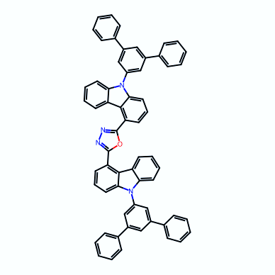 c1ccc(-c2cc(-c3ccccc3)cc(-n3c4ccccc4c4c(-c5nnc(-c6cccc7c6c6ccccc6n7-c6cc(-c7ccccc7)cc(-c7ccccc7)c6)o5)cccc43)c2)cc1